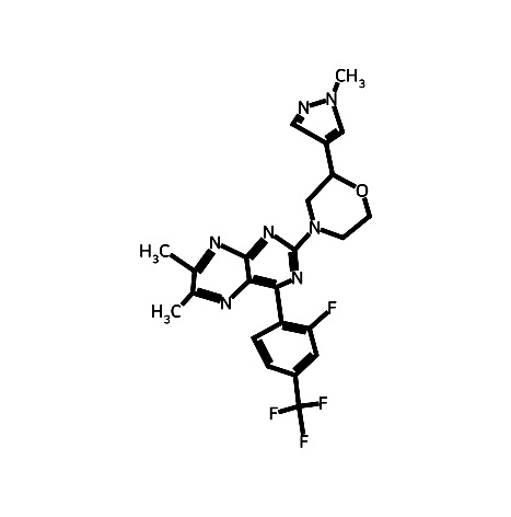 Cc1nc2nc(N3CCOC(c4cnn(C)c4)C3)nc(-c3ccc(C(F)(F)F)cc3F)c2nc1C